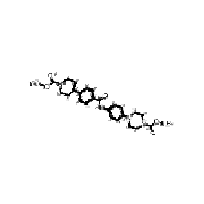 CC(C)(C)OC(=O)N1CC=C(c2ccc(C(=O)Nc3ccc(N4CCN(C(=O)OC(C)(C)C)CC4)cc3)cc2)CC1